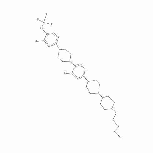 CCCCCC1CCC(C2CCC(c3ccc(C4CCC(c5ccc(OC(F)(F)F)c(F)c5)CC4)c(F)c3)CC2)CC1